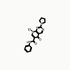 CCn1cc(C(=O)Nc2ccccc2)c(=O)c2cnc(N3CCCC3)nc21